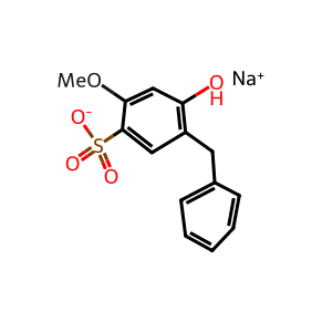 COc1cc(O)c(Cc2ccccc2)cc1S(=O)(=O)[O-].[Na+]